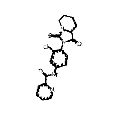 O=C(Nc1ccc(N2C(=O)C3CCCCN3C2=S)c(Cl)c1)c1ccccn1